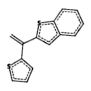 C=C(c1cccs1)c1cc2ccccc2s1